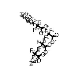 O=C([O-])C(F)(F)F.O=C([O-])C(F)(F)F.O=C([O-])C(F)(F)F.O=C([O-])C(F)(F)F.[O-2].[O-2].[O-2].[O-2].[Ti+4].[Ti+4].[Ti+4]